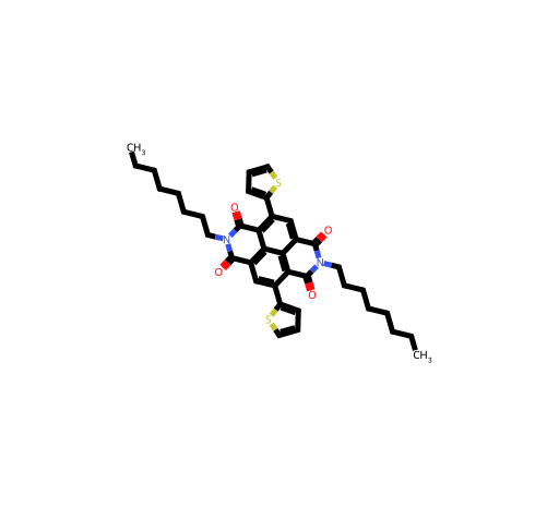 CCCCCCCCN1C(=O)c2cc(-c3cccs3)c3c4c(cc(-c5cccs5)c(c24)C1=O)C(=O)N(CCCCCCCC)C3=O